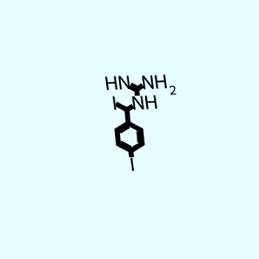 N=C(N)NC(I)c1ccc(I)cc1